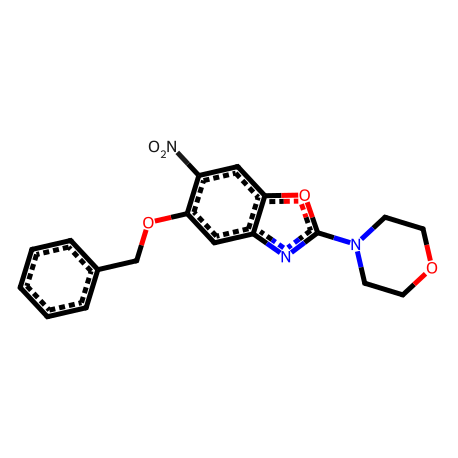 O=[N+]([O-])c1cc2oc(N3CCOCC3)nc2cc1OCc1ccccc1